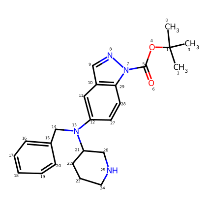 CC(C)(C)OC(=O)n1ncc2cc(N(Cc3ccccc3)C3CCCNC3)ccc21